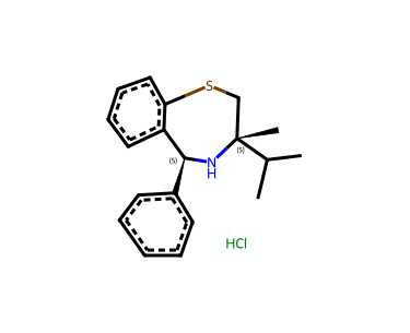 CC(C)[C@@]1(C)CSc2ccccc2[C@H](c2ccccc2)N1.Cl